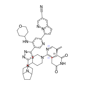 C=C(/C=N\C(=C/C)N1CCC(CN2C3CCC2CN(c2nnc(-c4cnc(-c5ccc6cc(C#N)cnn56)cc4NC4CCOCC4)s2)C3)CC1)[C@@H]1CCC(=O)NC1=O